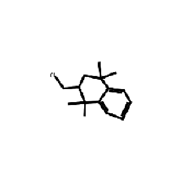 CC1(C)CC(CCl)C(C)(C)c2ccccc21